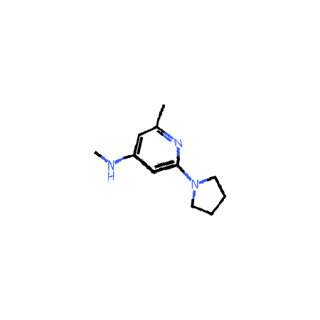 CNc1cc(C)nc(N2CCCC2)c1